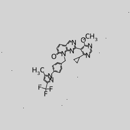 COc1ncnc(C2CC2)c1-c1ncc2ccc(=O)n(Cc3ccc(-n4nc(C(F)(F)F)cc4C)cc3)c2n1